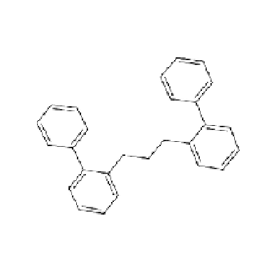 c1ccc(-c2ccccc2CCCc2ccccc2-c2ccccc2)cc1